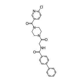 O=C(NCC(=O)N1CCN(C(=O)c2ccc(Cl)nc2)CC1)c1ccc(-c2ccccc2)cc1